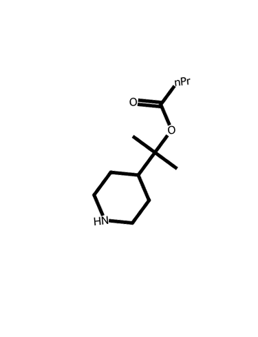 CCCC(=O)OC(C)(C)C1CCNCC1